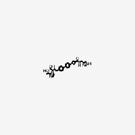 CC(O)c1nccn1C(/C=C/c1ccc(-c2ccc(C3CC(C(=O)NCc4c[nH]cn4)C3)cc2)cc1)CO